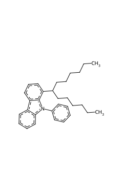 CCCCCCC(CCCCCC)c1cccc2c3ccccc3n(-c3ccccc3)c12